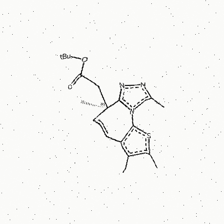 Cc1sc2c(c1C)C=C[C@@](C)(CC(=O)OC(C)(C)C)c1nnc(C)n1-2